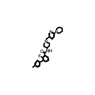 Cc1ccc(-c2cccc(C(=O)NC3CCN(Cc4ccc(N5CCCCC5)nc4)CC3)c2F)cc1